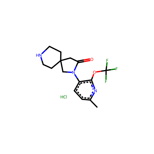 Cc1ccc(N2CC3(CCNCC3)CC2=O)c(OC(F)(F)F)n1.Cl